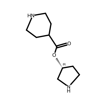 O=C(O[C@@H]1CCNC1)C1CCNCC1